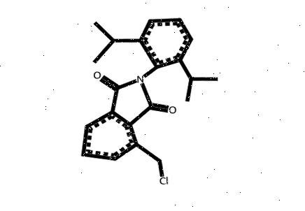 CC(C)c1cccc(C(C)C)c1N1C(=O)c2cccc(CCl)c2C1=O